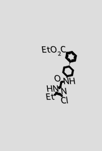 CCOC(=O)c1cccc([C@H]2CC[C@H](NC(=O)c3nc(Cl)c(CC)[nH]3)CC2)c1